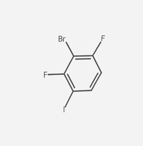 Fc1ccc(I)c(F)c1Br